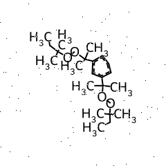 CCC(C)(C)OOC(C)(C)c1cccc(C(C)(C)OOC(C)(C)CC)c1